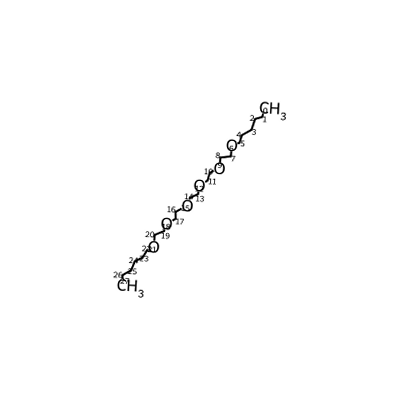 CCCCCCOCCOCCOCCOCCOCCOCCCCCC